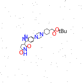 Cn1nc(C2CCC(=O)NC2=O)c2ccc(N3CCN([C@H]4CC[C@H](CC(=O)OC(C)(C)C)CC4)CC3)cc21